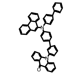 O=c1c2ccccc2n(-c2cccc(-c3ccc(N(c4ccc(-c5ccccc5)cc4)c4cc5ccccc5c5ccccc45)cc3)c2)c2ccccc12